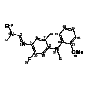 CCN(C)C=Nc1cc(C)c(N(C)c2ccccc2OC)cc1F